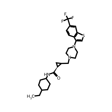 CCC1CCC(NC(=O)[C@H]2CC2CN2CCN(c3csc4cc(C(F)(F)F)ccc34)CC2)CC1